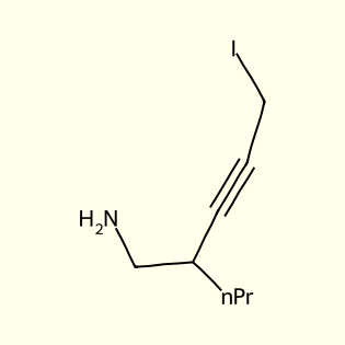 CCCC(C#CCI)CN